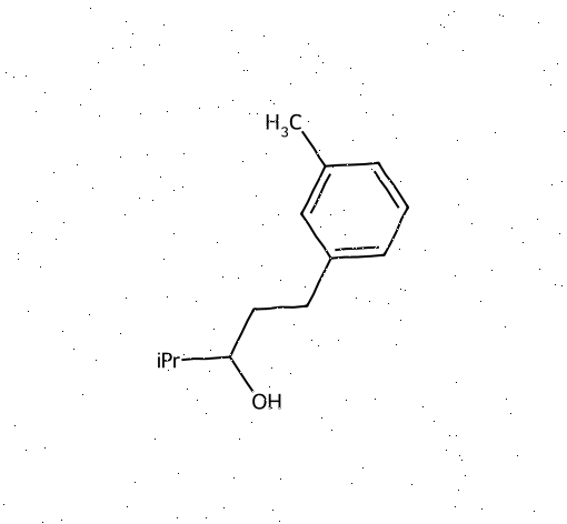 Cc1cccc(CCC(O)C(C)C)c1